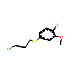 COc1cc(SCCCCl)ccc1Br